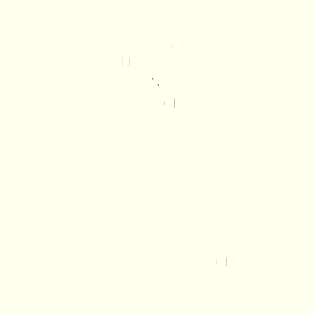 CCCCCCCCCC(c1ccccc1)[N+](C)(C)CC